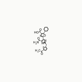 CC(=O)c1ccc(Cn2nc(C(N)=O)c(-c3nc(C(=O)O)c(-c4ccccc4)o3)n2)s1